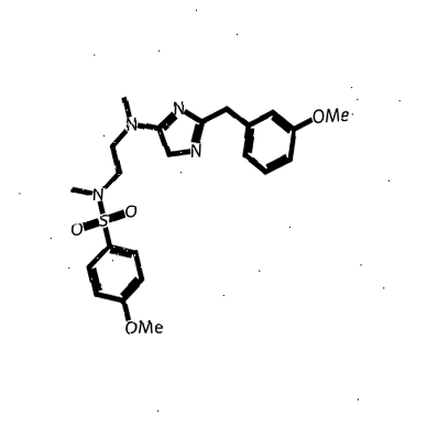 COc1ccc(S(=O)(=O)N(C)CCN(C)C2=NC(Cc3cccc(OC)c3)=NC2)cc1